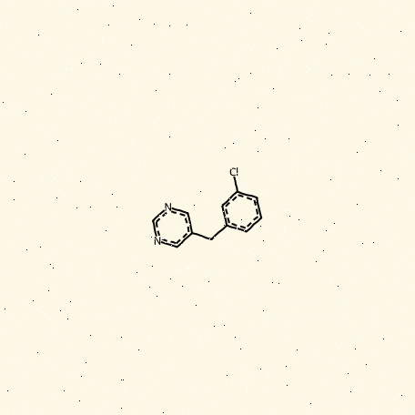 Clc1cccc(Cc2cncnc2)c1